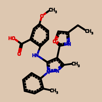 CCc1coc(-c2c(C)nn(-c3ccccc3C)c2Nc2ccc(OC)cc2C(=O)O)n1